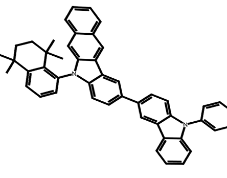 CC1(C)CCC(C)(C)c2c(-n3c4ccc(-c5ccc6c(c5)c5ccccc5n6-c5ccccc5)cc4c4cc5ccccc5cc43)cccc21